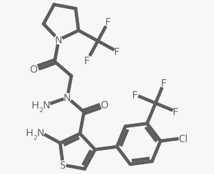 Nc1scc(-c2ccc(Cl)c(C(F)(F)F)c2)c1C(=O)N(N)CC(=O)N1CCCC1C(F)(F)F